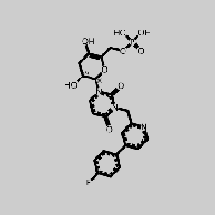 O=c1ccn([C@@H]2OC(COP(=O)(O)O)=C(O)C[C@@H]2O)c(=O)n1Cc1cc(-c2ccc(F)cc2)ccn1